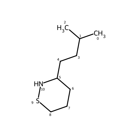 CC(C)CCC1CCCSN1